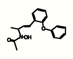 CC(=O)N(O)C(C)/C=C/c1ccccc1Oc1ccccc1